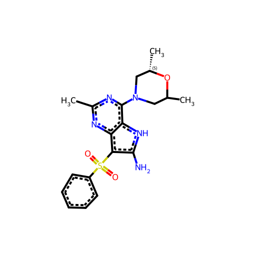 Cc1nc(N2CC(C)O[C@@H](C)C2)c2[nH]c(N)c(S(=O)(=O)c3ccccc3)c2n1